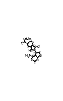 COC(=O)c1ccc2c(Cl)c(-c3csc4ncnc(N)c34)[nH]c2c1